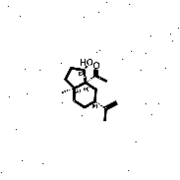 C=C(C)[C@@H]1CC[C@@]2(C)CC[C@H](O)[C@@]2(C(C)=O)C1